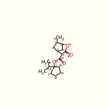 CC1CC2CC1OC(=O)C2C(=O)OC1(C(C)C)CCCC1